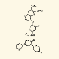 COc1cc2nccc(Oc3ccc(NC(=O)c4cn(-c5cccnc5)cc(-c5ccc(F)cc5)c4=O)cc3F)c2nc1OC